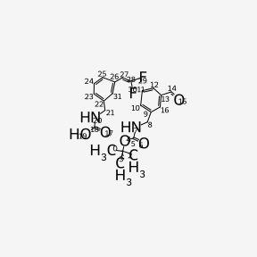 CC(C)(C)OC(=O)NCc1cccc(C=O)c1.O=C(O)NCc1cccc(C=C(F)F)c1